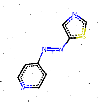 c1cc(/N=N/c2cncs2)ccn1